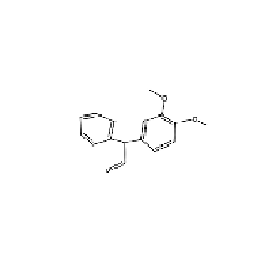 COc1ccc(C(C=O)c2ccccc2)cc1OC